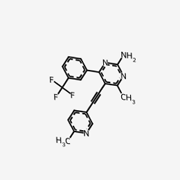 Cc1ccc(C#Cc2c(C)nc(N)nc2-c2cccc(C(F)(F)F)c2)cn1